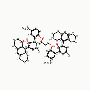 COc1ccc(OC(C)C[C@H](C)Oc2ccc(OC)cc2-c2cc(C)cc(-c3c4c(cc5c3CCCC5)CCCC4)c2O)c(-c2cc(C)cc(-c3c4c(cc5c3CCCC5)CCCC4)c2O)c1